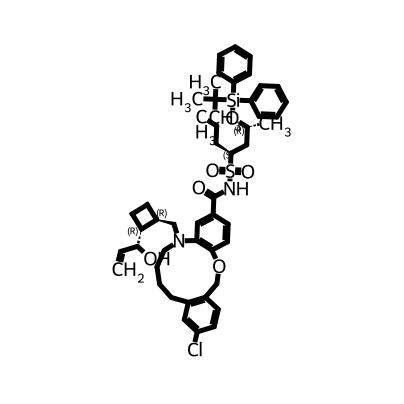 C=CC(O)[C@@H]1CC[C@H]1CN1CCCCc2cc(Cl)ccc2COc2ccc(C(=O)NS(=O)(=O)[C@@H](CCC)C[C@@H](C)O[Si](c3ccccc3)(c3ccccc3)C(C)(C)C)cc21